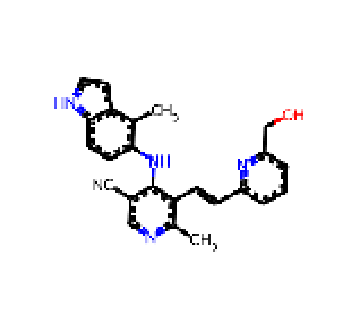 Cc1ncc(C#N)c(Nc2ccc3[nH]ccc3c2C)c1C=Cc1cccc(CO)n1